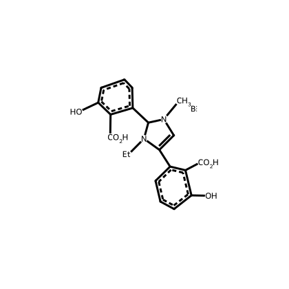 CCN1C(c2cccc(O)c2C(=O)O)=CN(C)C1c1cccc(O)c1C(=O)O.[B]